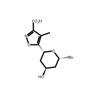 CCOC(=O)c1noc([C@H]2C[C@H](O)C[C@@H](C(C)(C)C)O2)c1C